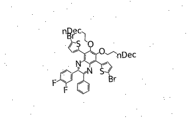 CCCCCCCCCCCCOc1c(OCCCCCCCCCCCC)c(-c2ccc(Br)s2)c2nc(-c3ccc(F)c(F)c3)c(-c3ccccc3)nc2c1-c1ccc(Br)s1